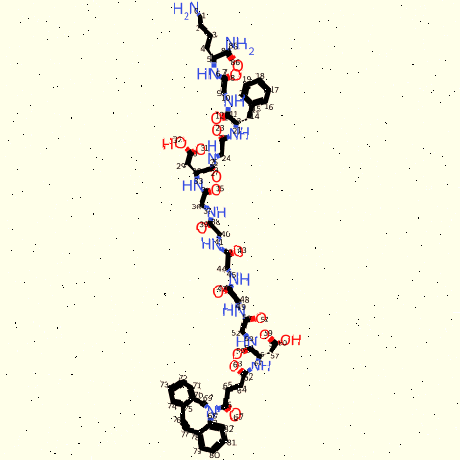 NCCCC[C@H](NC(=O)CNC(=O)[C@H](Cc1ccccc1)NC(=O)CNC(=O)[C@H](CC(=O)O)NC(=O)CNC(=O)CNC(=O)CNC(=O)CNC(=O)CNC(=O)[C@H](CC(=O)O)NC(=O)CCC(=O)N1Cc2ccccc2C#Cc2ccccc21)C(N)=O